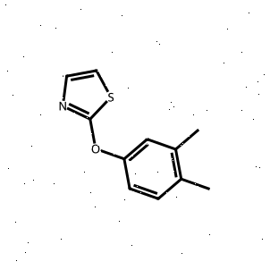 Cc1ccc(Oc2n[c]cs2)cc1C